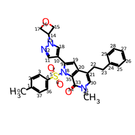 Cc1ccc(S(=O)(=O)n2c(-c3cnn(C4COC4)c3)cc3c(CCc4ccccc4)cn(C)c(=O)c32)cc1